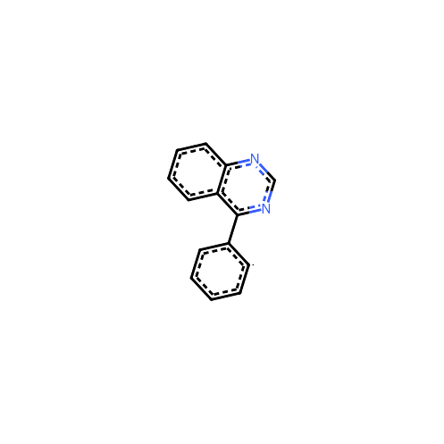 [c]1ccccc1-c1ncnc2ccccc12